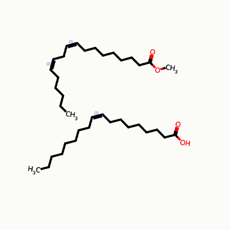 CCCCC/C=C\C/C=C\CCCCCCCC(=O)OC.CCCCCCCC/C=C\CCCCCCCC(=O)O